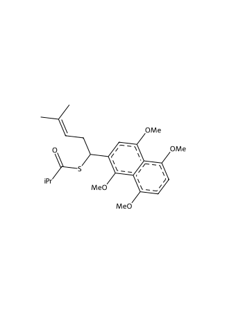 COc1ccc(OC)c2c(OC)c(C(CC=C(C)C)SC(=O)C(C)C)cc(OC)c12